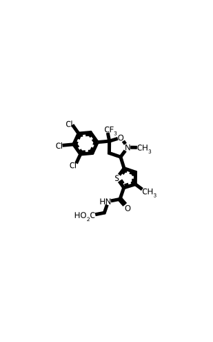 Cc1cc(C2CC(c3cc(Cl)c(Cl)c(Cl)c3)(C(F)(F)F)ON2C)sc1C(=O)NCC(=O)O